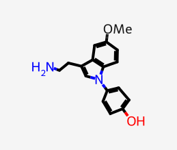 COc1ccc2c(c1)c(CCN)cn2-c1ccc(O)cc1